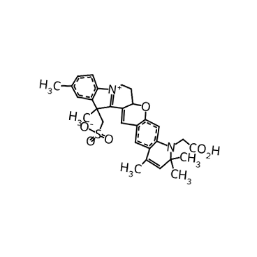 CC1=CC(C)(C)N(CC(=O)O)c2cc3c(cc21)C=C1C2=[N+](CCC1O3)c1ccc(C)cc1C2(C)CS(=O)(=O)[O-]